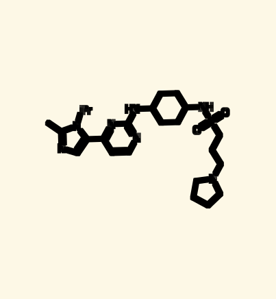 Cc1ncc(-c2ccnc(NC3CCC(NS(=O)(=O)CCCN4CCCC4)CC3)n2)n1C(C)C